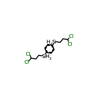 ClC(Cl)CC[SiH2]c1ccc([SiH2]CCC(Cl)Cl)cc1